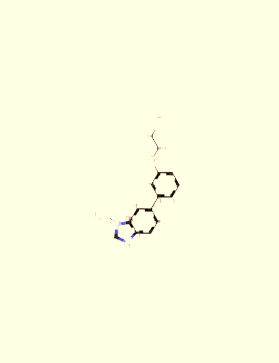 Cn1cnc2ccc(-c3cccc(OCCCl)c3)cc21